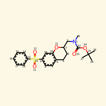 CN(CC1CCc2ccc(S(=O)(=O)c3ccccc3)cc2O1)C(=O)OC(C)(C)C